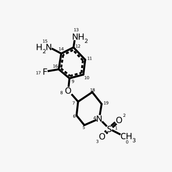 CS(=O)(=O)N1CCC(Oc2ccc(N)c(N)c2F)CC1